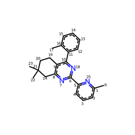 Cc1cccc(-c2nc3c(c(-c4ccccc4C)n2)CCC(C)(C)C3)n1